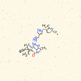 CO[C@H](C)[C@H]1C(=O)Nc2c(C)nc(NCc3cnn(Cc4ccc(C(F)(F)F)nc4C)c3)nc2N1C